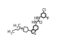 CCCC(C)N1CCC(c2csc3ccc(NC(=O)Nc4cc(F)cc(Cl)c4)cc23)CC1